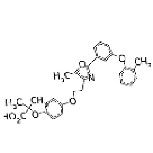 Cc1ccccc1Oc1cccc(-c2nc(CCOc3ccc(OC(C)(C)C(=O)O)cc3)c(C)o2)c1